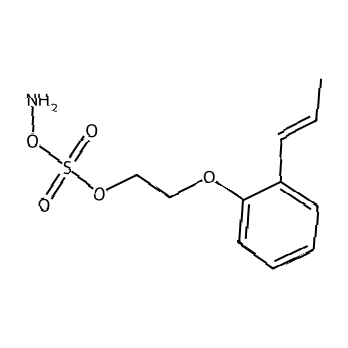 C/C=C/c1ccccc1OCCOS(=O)(=O)ON